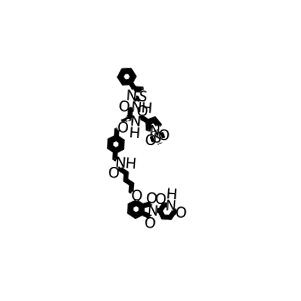 CS(=O)(=O)n1ccc(C(=O)N[C@@H](COCc2ccc(CNC(=O)CCCCOc3cccc4c3C(=O)N(C3CCC(=O)NC3=O)C4=O)cc2)C(=O)Nc2nc(-c3ccccc3)cs2)c1